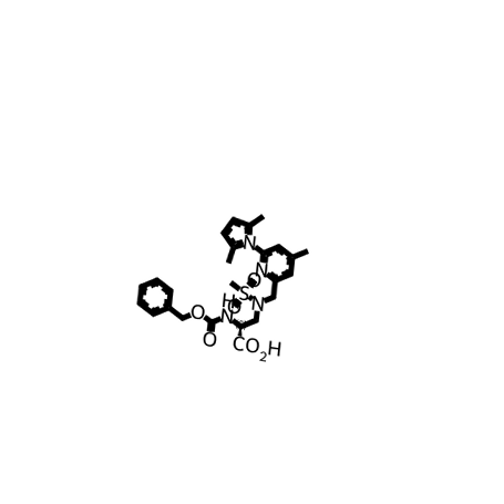 Cc1cc(CN(C[C@H](NC(=O)OCc2ccccc2)C(=O)O)S(C)(=O)=O)nc(-n2c(C)ccc2C)c1